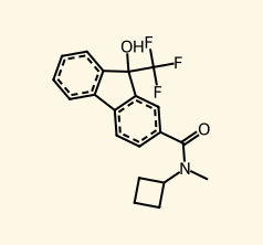 CN(C(=O)c1ccc2c(c1)C(O)(C(F)(F)F)c1ccccc1-2)C1CCC1